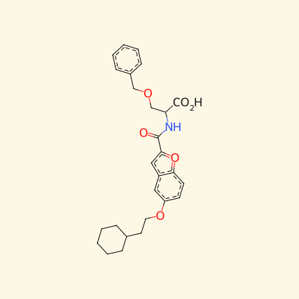 O=C(NC(COCc1ccccc1)C(=O)O)c1cc2cc(OCCC3CCCCC3)ccc2o1